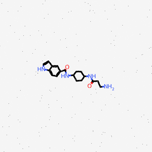 NCCC(=O)NC1CCC(NC(=O)c2ccc3[nH]ccc3c2)CC1